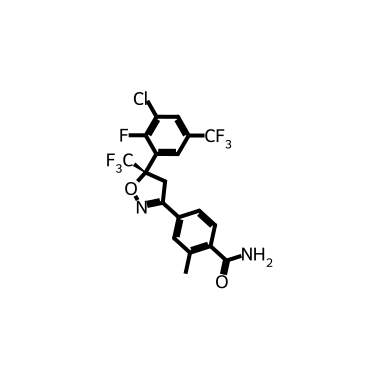 Cc1cc(C2=NO[C@@](c3cc(C(F)(F)F)cc(Cl)c3F)(C(F)(F)F)C2)ccc1C(N)=O